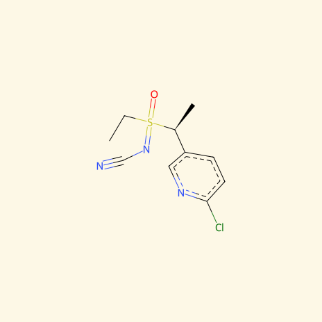 CCS(=O)(=NC#N)[C@@H](C)c1ccc(Cl)nc1